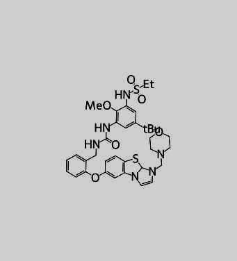 CCS(=O)(=O)Nc1cc(C(C)(C)C)cc(NC(=O)NCc2ccccc2Oc2ccc3c(c2)N2C=CN(CN4CCOCC4)C2S3)c1OC